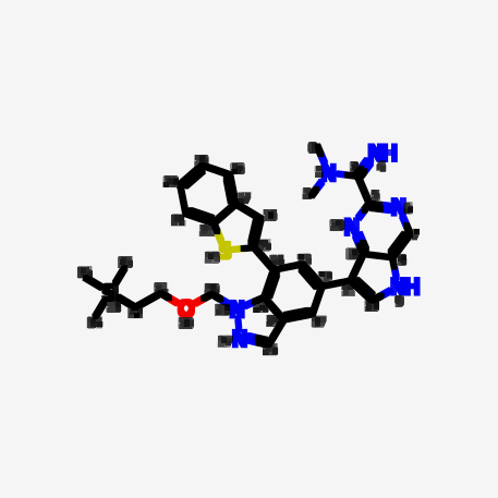 CN(C)C(=N)c1ncc2[nH]cc(-c3cc(-c4cc5ccccc5s4)c4c(cnn4COCC[Si](C)(C)C)c3)c2n1